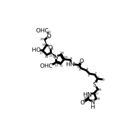 CC(CCCCC(=O)NCc1cc(C=O)n([C@H]2CC(O)[C@@H](COC=O)O2)c1)SCC1CNC(=O)N1